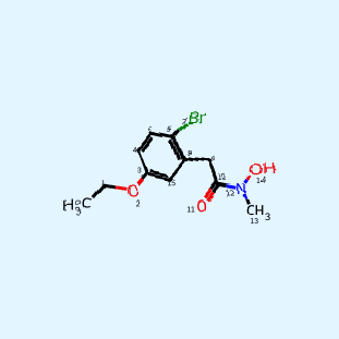 CCOc1ccc(Br)c(CC(=O)N(C)O)c1